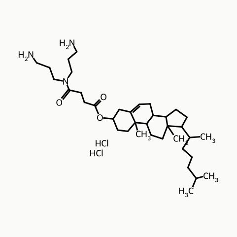 CC(C)CCCC(C)C1CCC2C3CC=C4CC(OC(=O)CCC(=O)N(CCCN)CCCN)CCC4(C)C3CCC12C.Cl.Cl